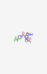 Cn1cc(C(=O)N2CCC(C(F)(F)F)CC2)c2cc[nH]c2c1=O